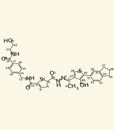 C/C(=N\NC(=O)C1CC=C(C(=O)NCc2ccc(C(=O)NCCO)cc2)S1)c1csc(-c2ccc3c(c2)CCC3)c1O